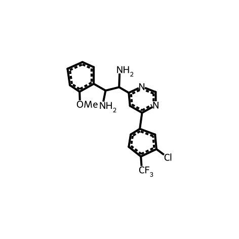 COc1ccccc1C(N)C(N)c1cc(-c2ccc(C(F)(F)F)c(Cl)c2)ncn1